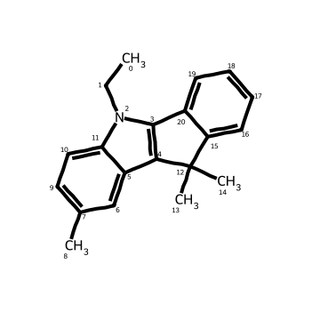 CCn1c2c(c3cc(C)ccc31)C(C)(C)c1ccccc1-2